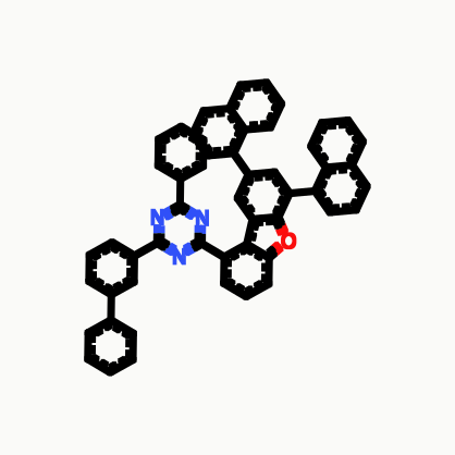 c1ccc(-c2cccc(-c3nc(-c4ccccc4)nc(-c4cccc5oc6c(-c7cccc8ccccc78)cc(-c7cccc8ccccc78)cc6c45)n3)c2)cc1